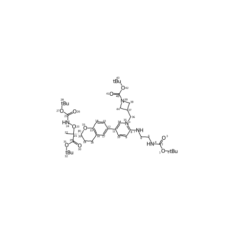 CC(C)(C)OC(=O)NCCNc1ccc(-c2ccc3c(c2)CC[C@H](C(C)(ONC(=O)OC(C)(C)C)C(=O)OC(C)(C)C)O3)c[n+]1CC1CN(C(=O)OC(C)(C)C)C1